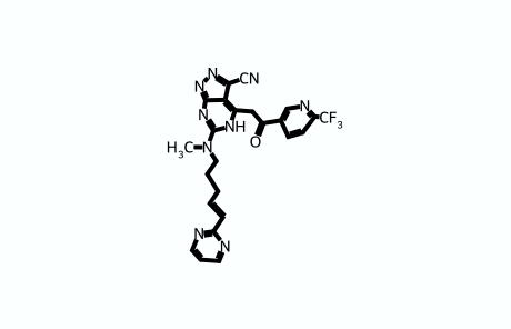 CN(CCCC=Cc1ncccn1)c1nc2nnc(C#N)c-2c(CC(=O)c2ccc(C(F)(F)F)nc2)[nH]1